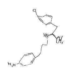 CC(Cc1ccc(Cl)cc1)NCCCc1ccc(N)cc1